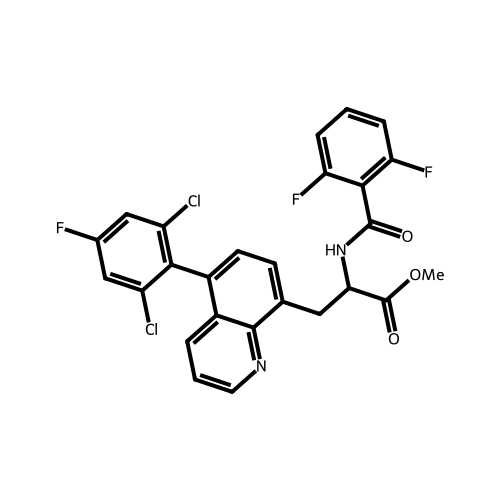 COC(=O)C(Cc1ccc(-c2c(Cl)cc(F)cc2Cl)c2cccnc12)NC(=O)c1c(F)cccc1F